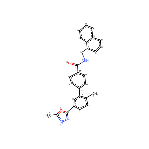 Cc1nnc(-c2ccc(C)c(-c3ccc(C(=O)NCc4cccc5ccccc45)cc3)c2)o1